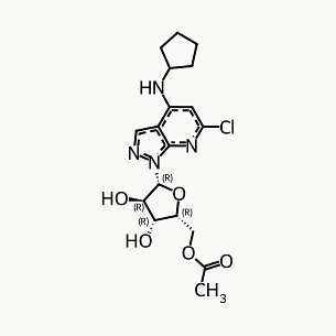 CC(=O)OC[C@H]1O[C@@H](n2ncc3c(NC4CCCC4)cc(Cl)nc32)[C@H](O)[C@H]1O